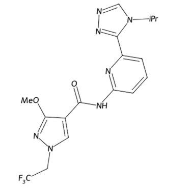 COc1nn(CC(F)(F)F)cc1C(=O)Nc1cccc(-c2nncn2C(C)C)n1